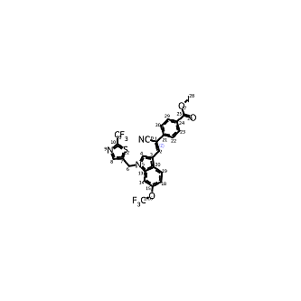 N#C/C(=C\c1cn(Cc2cnc(C(F)(F)F)s2)c2cc(OC(F)(F)F)ccc12)c1ccc(C(=O)OI)cc1